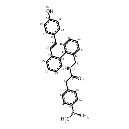 CN(C)c1ccc(CC(=O)NCc2ccccc2-c2ccccc2/C=C/c2ccc(O)cc2)cc1